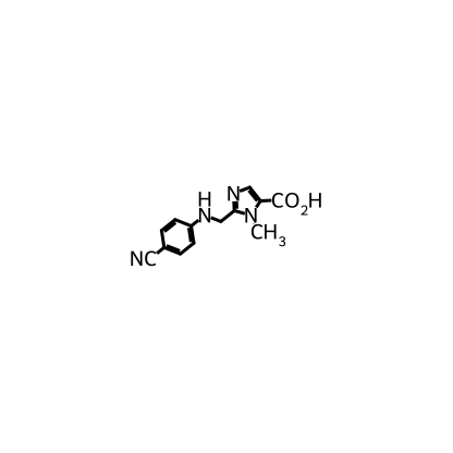 Cn1c(C(=O)O)cnc1CNc1ccc(C#N)cc1